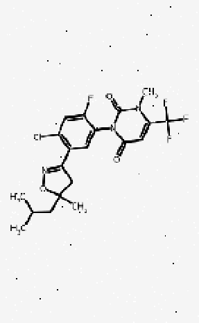 CC(C)CC1(C)CC(c2cc(-n3c(=O)cc(C(F)(F)F)n(C)c3=O)c(F)cc2Cl)=NO1